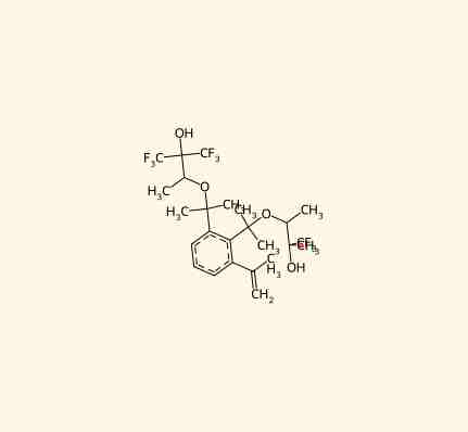 C=C(C)c1cccc(C(C)(C)OC(C)C(O)(C(F)(F)F)C(F)(F)F)c1C(C)(C)OC(C)C(C)(O)C(F)(F)F